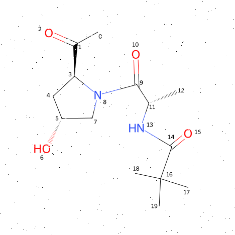 CC(=O)[C@@H]1C[C@@H](O)CN1C(=O)[C@H](C)NC(=O)C(C)(C)C